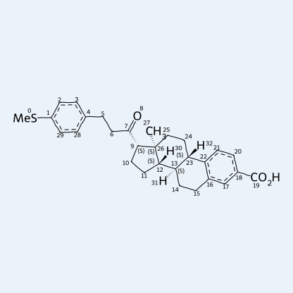 CSc1ccc(CCC(=O)[C@H]2CC[C@H]3[C@@H]4CCc5cc(C(=O)O)ccc5[C@H]4CC[C@]23C)cc1